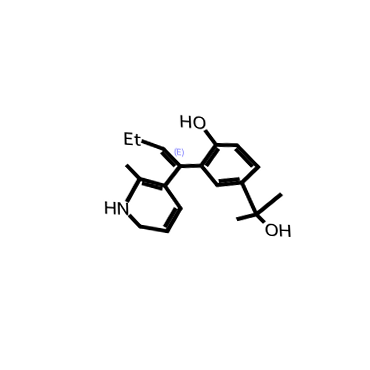 CC/C=C(\C1=C(C)NCC=C1)c1cc(C(C)(C)O)ccc1O